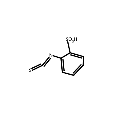 O=S(=O)(O)c1ccccc1N=C=S